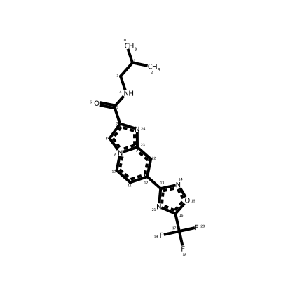 CC(C)CNC(=O)c1cn2ccc(-c3noc(C(F)(F)F)n3)cc2n1